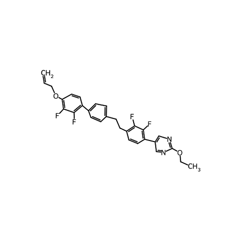 C=CCOc1ccc(-c2ccc(CCc3ccc(-c4cnc(OCC)nc4)c(F)c3F)cc2)c(F)c1F